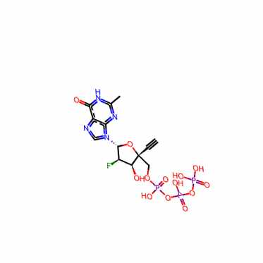 C#C[C@]1(COP(=O)(O)OP(=O)(O)OP(=O)(O)O)O[C@@H](n2cnc3c(=O)[nH]c(C)nc32)[C@H](F)[C@@H]1O